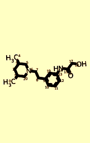 CC1CC(C)CN(CCc2cccc(NC(=O)CO)c2)C1